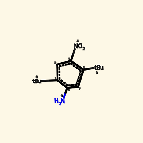 CC(C)(C)c1cc([N+](=O)[O-])c(C(C)(C)C)cc1N